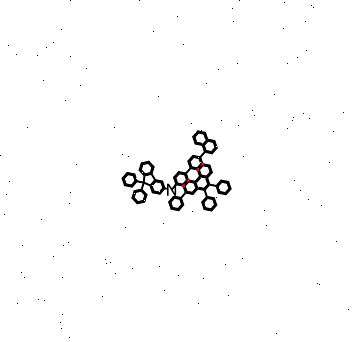 c1ccc(-c2c(-c3ccccc3)c3cc(-c4ccccc4N(c4ccc(-c5ccc(-c6cccc7ccccc67)cc5)cc4)c4ccc5c(c4)-c4ccccc4C5(c4ccccc4)c4ccccc4)ccc3c3ccccc23)cc1